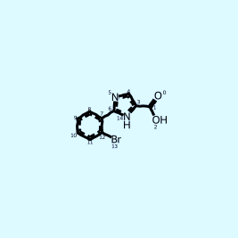 O=C(O)c1cnc(-c2ccccc2Br)[nH]1